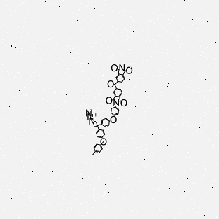 Cc1ccc(Oc2ccc(C(C)(CN=[N+]=[N-])c3ccc(OC4=CC=C(N5C(=O)C6=CCC(C(=O)C7C=C8C(=O)N(C)C(=O)C8=CC7)C=C6C5=O)CC4)cc3)cc2)cc1